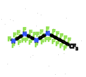 FN(F)C(F)(F)C(F)(F)N(F)C(F)(F)C(F)(F)N(F)C(F)(F)C(F)(F)N(F)C(F)(F)C(F)(F)C(F)(F)C(F)(F)C(F)(F)C(F)(F)F